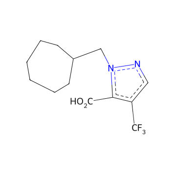 O=C(O)c1c(C(F)(F)F)cnn1CC1CCCCCC1